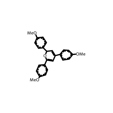 COc1ccc(C2=CC(c3ccc(OC)cc3)OC(c3ccc(OC)cc3)=C2)cc1